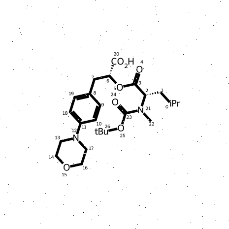 CC(C)C[C@@H](C(=O)O[C@H](Cc1ccc(N2CCOCC2)cc1)C(=O)O)N(C)C(=O)OC(C)(C)C